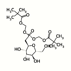 CC(C)(C)C(=O)OCOP(=O)(C[C@H]1O[C@H](CO)[C@@H](O)[C@H](O)[C@@H]1O)OCOC(=O)C(C)(C)C